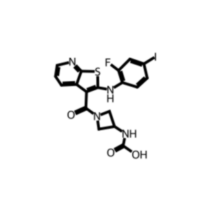 O=C(O)NC1CN(C(=O)c2c(Nc3ccc(I)cc3F)sc3ncccc23)C1